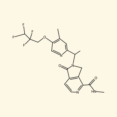 CNC(=O)c1nccc2c1CN(C(C)c1cc(C)c(OCC(F)(F)C(F)F)cn1)C2=O